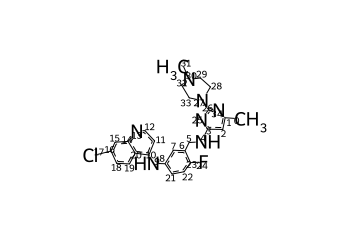 Cc1cc(NCc2cc(Nc3ccnc4cc(Cl)ccc34)ccc2F)nc(N2CCN(C)CC2)n1